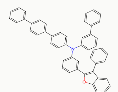 c1ccc(-c2ccc(-c3ccc(N(c4cccc(-c5ccccc5)c4)c4cccc(-c5oc6ccccc6c5-c5ccccc5)c4)cc3)cc2)cc1